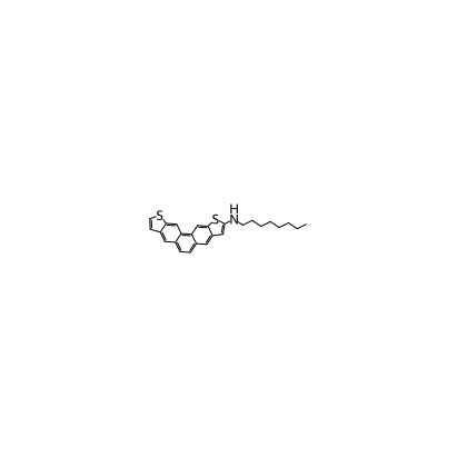 CCCCCCCCNc1cc2cc3ccc4cc5ccsc5cc4c3cc2s1